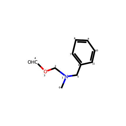 CN(COC=O)Cc1ccccc1